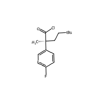 CC(C)(C)CC[C@](C)(C(=O)Cl)c1ccc(F)cc1